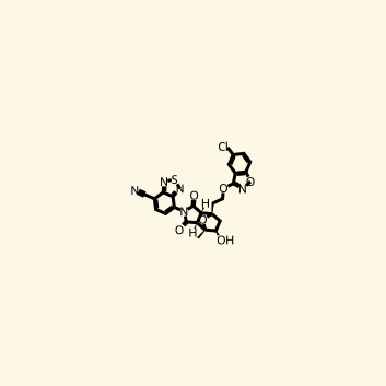 C[C@@]12O[C@@](CCOc3noc4ccc(Cl)cc34)(C[C@H]1O)[C@@H]1C(=O)N(c3ccc(C#N)c4nsnc34)C(=O)[C@@H]12